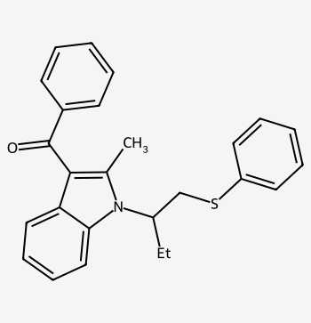 CCC(CSc1ccccc1)n1c(C)c(C(=O)c2ccccc2)c2ccccc21